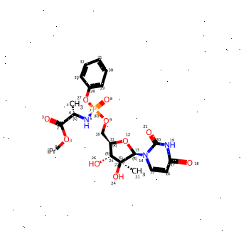 CC(C)OC(=O)[C@H](C)N[P@@](=O)(OC[C@H]1O[C@@H](n2ccc(=O)[nH]c2=O)[C@@](C)(O)[C@@H]1O)Oc1ccccc1